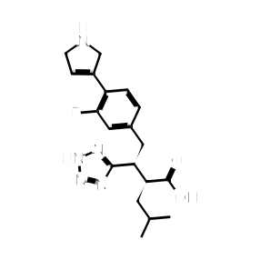 CC(C)C[C@H](C(=O)O)[C@H](Cc1ccc(C2=CCNC2)c(F)c1)c1nn[nH]n1